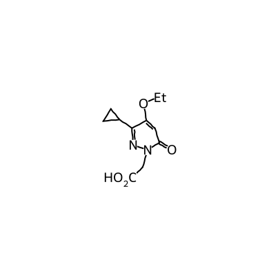 CCOc1cc(=O)n(CC(=O)O)nc1C1CC1